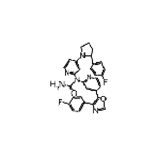 NC(=O)N(c1cc(-c2ocnc2-c2ccc(F)cc2)ccn1)c1cc(N2CCCC2c2ccc(F)cc2)ccn1